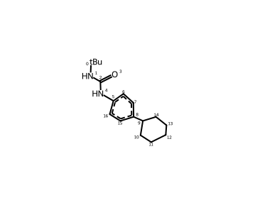 CC(C)(C)NC(=O)Nc1ccc(C2CCCCC2)cc1